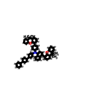 CC1(C)c2ccccc2Oc2c(-c3ccc(N(c4ccc(-c5ccc(-c6ccccc6)cc5)cc4)c4ccc(-c5cccc6c5Oc5ccccc5C6(C)C)c5ccccc45)cc3)cccc21